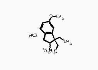 CCC1(CC)c2cc(OC)ccc2CC1N.Cl